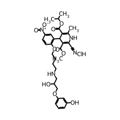 COC(=O)C1=C(C#N)NC(C)=C(C(=O)OC(C)C)C1c1cc([N+](=O)[O-])ccc1OCCCCNCC(O)COc1cccc(O)c1.Cl